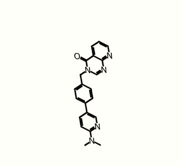 CN(C)c1ccc(-c2ccc(Cn3cnc4ncccc4c3=O)cc2)cn1